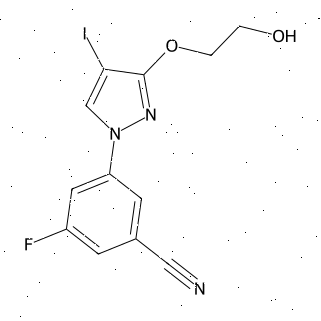 N#Cc1cc(F)cc(-n2cc(I)c(OCCO)n2)c1